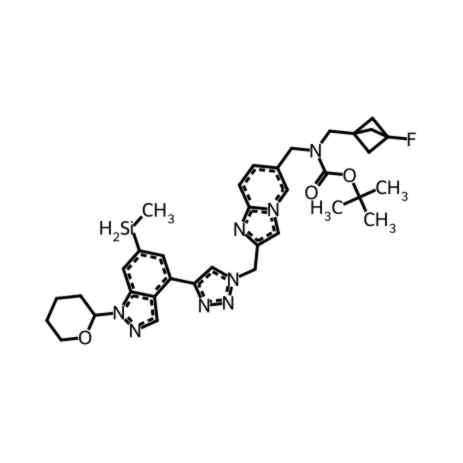 C[SiH2]c1cc(-c2cn(Cc3cn4cc(CN(CC56CC(F)(C5)C6)C(=O)OC(C)(C)C)ccc4n3)nn2)c2cnn(C3CCCCO3)c2c1